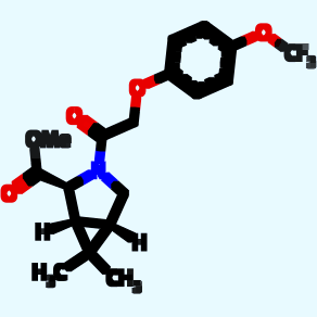 COC(=O)[C@@H]1[C@@H]2[C@H](CN1C(=O)COc1ccc(OC(F)(F)F)cc1)C2(C)C